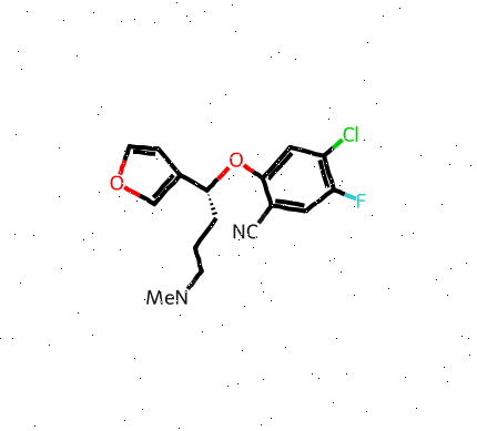 CNCCC[C@@H](Oc1cc(Cl)c(F)cc1C#N)c1ccoc1